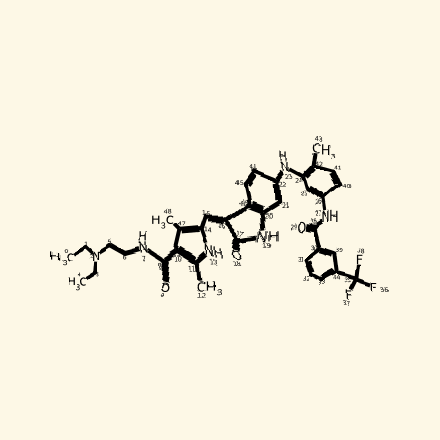 CCN(CC)CCNC(=O)c1c(C)[nH]c(/C=C2\C(=O)Nc3cc(Nc4cc(NC(=O)c5cccc(C(F)(F)F)c5)ccc4C)ccc32)c1C